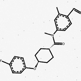 C=Cc1ccc(N(C)C(=O)[C@H]2CC[C@H](Oc3ccc(F)cc3)CC2)cc1C